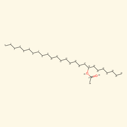 CCCCCCCCCCCCCCCCCCC(CCCCCCC)OC(C)=O